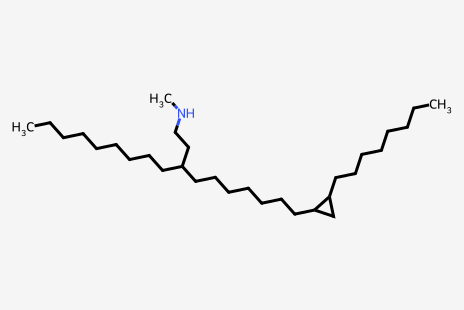 CCCCCCCCCC(CCCCCCCC1CC1CCCCCCCC)CCNC